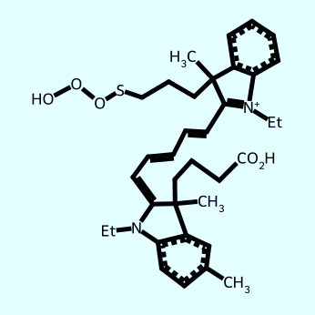 CCN1/C(=C/C=C/C=C/C2=[N+](CC)c3ccccc3C2(C)CCCSOOO)C(C)(CCCC(=O)O)c2cc(C)ccc21